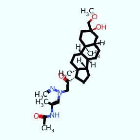 C=NN(/C=C(\C)NC(C)=O)CC(=O)[C@H]1CC[C@H]2[C@@H]3CC[C@H]4C[C@@](O)(COC)CC[C@]4(C)[C@H]3CC[C@]12C